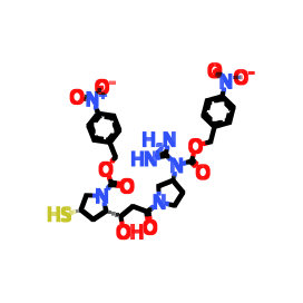 N=C(N)N(C(=O)OCc1ccc([N+](=O)[O-])cc1)[C@H]1CCN(C(=O)CC(O)[C@@H]2C[C@H](S)CN2C(=O)OCc2ccc([N+](=O)[O-])cc2)C1